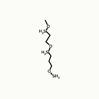 CO[SiH2]CCO[SiH2]CCCO[SiH3]